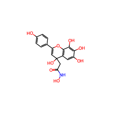 O=C(CC1(O)C=C(c2ccc(O)cc2)Oc2c1cc(O)c(O)c2O)NO